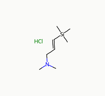 CN(C)CC=C[Si](C)(C)C.Cl